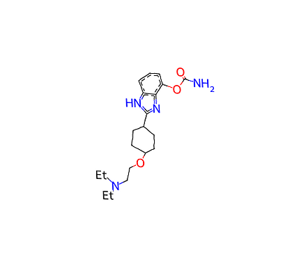 CCN(CC)CCOC1CCC(c2nc3c(OC(N)=O)cccc3[nH]2)CC1